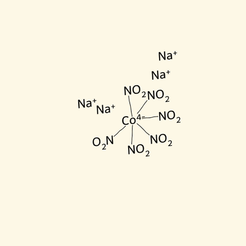 O=[N+]([O-])[Co-4]([N+](=O)[O-])([N+](=O)[O-])([N+](=O)[O-])([N+](=O)[O-])[N+](=O)[O-].[Na+].[Na+].[Na+].[Na+]